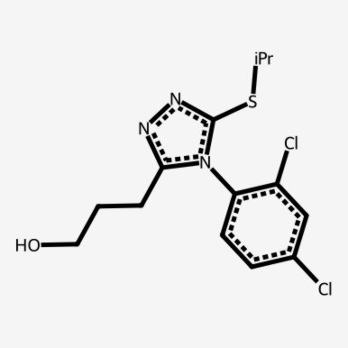 CC(C)Sc1nnc(CCCO)n1-c1ccc(Cl)cc1Cl